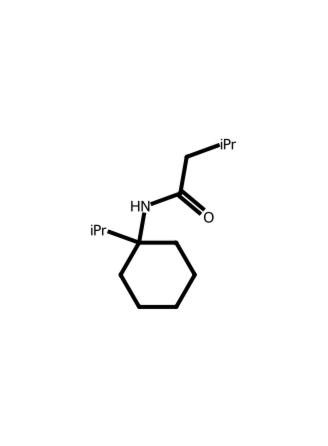 CC(C)CC(=O)NC1(C(C)C)CCCCC1